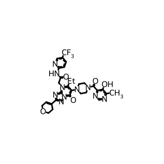 CCc1c(N2CCN(C(=O)c3ncnc(C)c3O)CC2)c(=O)n2nc(C3=CCOCC3)nc2n1CC(=O)Nc1ccc(C(F)(F)F)cn1